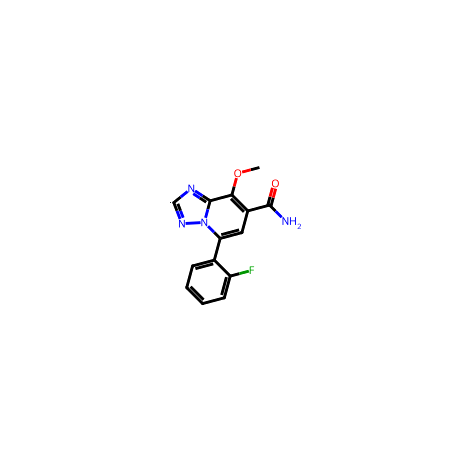 COc1c(C(N)=O)cc(-c2ccccc2F)n2n[c]nc12